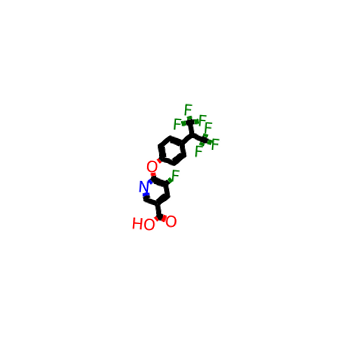 O=C(O)c1cnc(Oc2ccc(C(C(F)(F)F)C(F)(F)F)cc2)c(F)c1